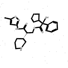 Cc1cc(NC(=O)C(COC(=O)C(O)(c2ccccc2)C2CCCC2)[C@H]2CCCNC2)no1